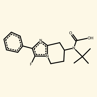 CC(C)(C)N(C(=O)O)C1CCn2c(nc(-c3ccccc3)c2F)C1